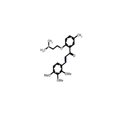 COc1ccc(/C=C/C(=O)c2cc(C)ccc2OCCN(C)C)c(OC)c1OC